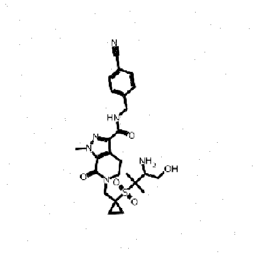 Cn1nc(C(=O)NCc2ccc(C#N)cc2)c2c1C(=O)N(CC1(S(=O)(=O)C(C)(C)C(N)CO)CC1)CC2